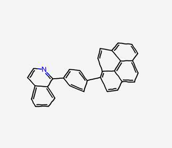 c1ccc2c(-c3ccc(-c4ccc5ccc6cccc7ccc4c5c67)cc3)nccc2c1